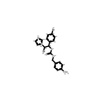 Cc1ccc(COC(=S)SC(c2ccc(Br)cc2)C(Br)n2ccnc2)cc1